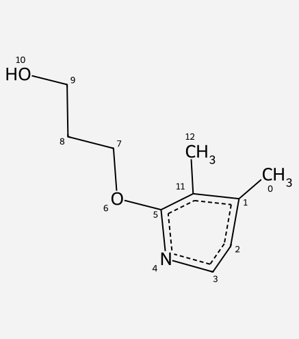 Cc1ccnc(OCCCO)c1C